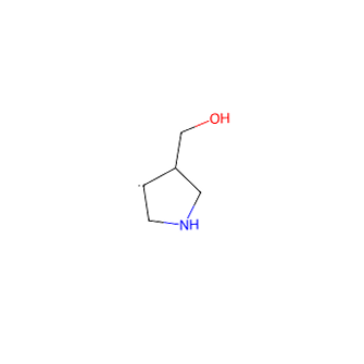 OCC1[CH]CNC1